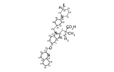 CC(C)(Cc1nc2cc(OCc3ccc4ccccc4n3)ccc2n1Cc1ccc(N2CCCC(F)(F)C2)cc1)C(=O)O